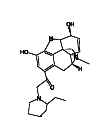 CCC1C[CH]CCN1CC(=O)c1cc(O)c2c3c1C[C@@H]1[C@@H]4C=C[C@H](O)[C@H](O2)[C@]34CCN1C